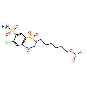 NS(=O)(=O)c1cc2c(cc1Cl)NCN(CCCCCCO[N+](=O)[O-])S2(=O)=O